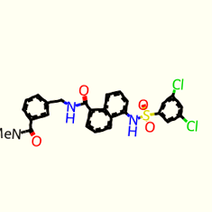 CNC(=O)c1cccc(CNC(=O)c2cccc3c(NS(=O)(=O)c4cc(Cl)cc(Cl)c4)cccc23)c1